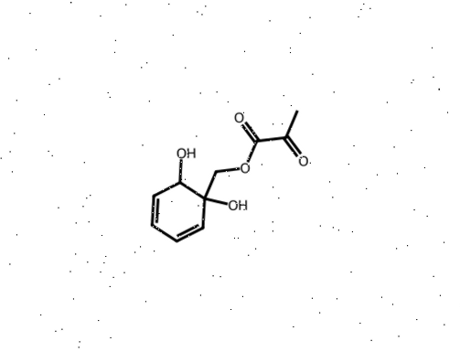 CC(=O)C(=O)OCC1(O)C=CC=CC1O